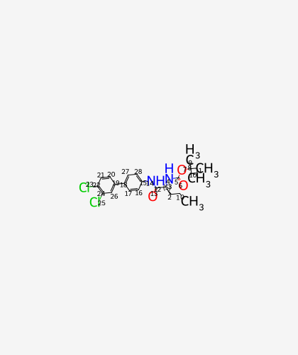 CCC[C@H](NC(=O)OC(C)(C)C)C(=O)Nc1ccc(-c2ccc(Cl)c(Cl)c2)cc1